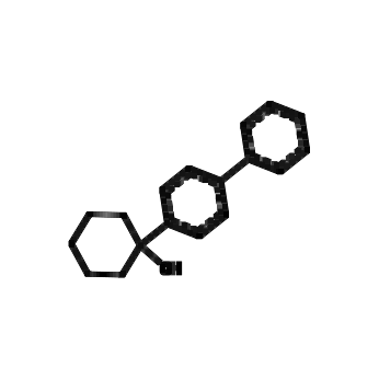 OC1(c2ccc(-c3ccccc3)cc2)CCCCC1